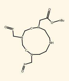 CCCCOC(=O)CN1CCNCCN(CP=O)CCN(CP=O)CC1